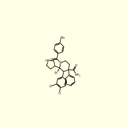 CCC1(C2CCNC2)C(c2ccc(Cl)c(Cl)c2)C(C(N)=O)(c2ccccc2)CCN1C(=O)c1ccc(C(C)(C)C)cc1